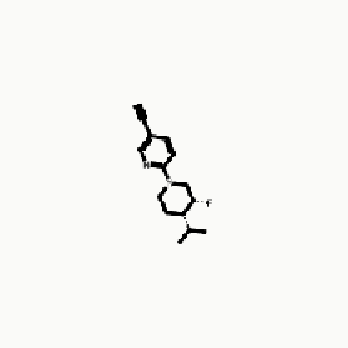 C#Cc1ccc(N2CC[C@@H](C(C)C)[C@@H](F)C2)nc1